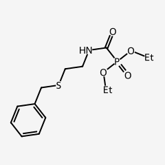 CCOP(=O)(OCC)C(=O)NCCSCc1ccccc1